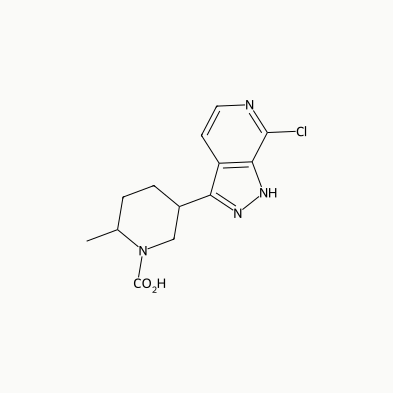 CC1CCC(c2n[nH]c3c(Cl)nccc23)CN1C(=O)O